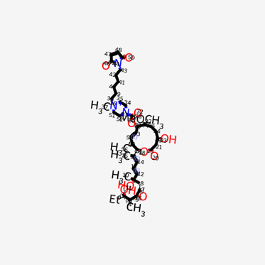 CC[C@H](O)[C@@H](C)[C@@H]1O[C@H]1CC(C)(O)/C=C/C=C(\C)[C@H]1OC(=O)C[C@H](O)CC[C@@](C)(OC)[C@@H](OC(=O)N2CC[N+](C)(CCCCCCN3C(=O)C=CC3=O)CC2)/C=C/[C@@H]1C